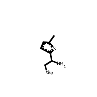 Cc1ccc(C(N)CC(C)(C)C)s1